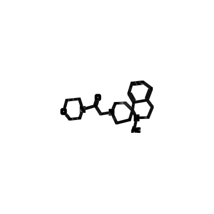 CC(=O)N1CCc2ccccc2C12CCN(CC(=O)N1CCOCC1)CC2